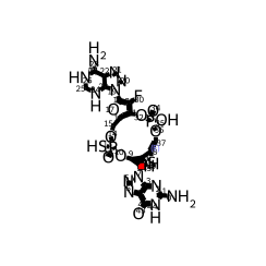 Nc1nc2c(nnn2C2=C3OP(=O)(S)OCc4oc(N5N=NC6C5NCN[C@H]6N)c(F)c4OP(=O)(O)O/C=C(/S2)[C@H]3O)c(=O)[nH]1